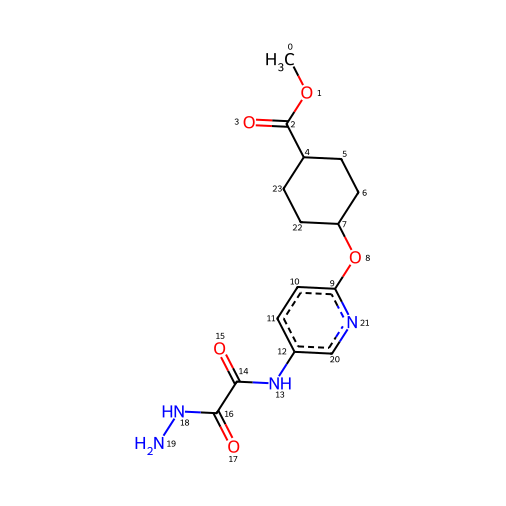 COC(=O)C1CCC(Oc2ccc(NC(=O)C(=O)NN)cn2)CC1